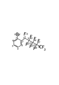 FC(c1ccccc1Br)C(F)(F)C(F)(F)C(F)(F)C(F)(F)F